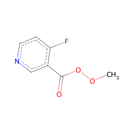 COOC(=O)c1cnccc1F